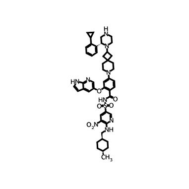 C[C@H]1CC[C@@H](CNc2ncc(S(=O)(=O)NC(=O)c3ccc(N4CCC5(CC4)CC(N4CCNC[C@H]4c4ccccc4C4CC4)C5)cc3Oc3cnc4[nH]ccc4c3)cc2[N+](=O)[O-])CC1